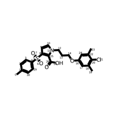 Cc1ccc(S(=O)(=O)c2ccn(CCCOc3cc(C)c(Cl)c(C)c3)c2C(=O)O)cc1